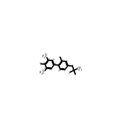 Cc1cc(CC(C)(C)C(F)(F)F)ccc1-c1cc(C(F)(F)F)c(C)c(C(F)(F)F)c1